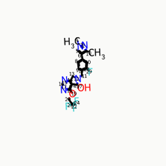 Cc1nn(C)cc1-c1ccc(CN2Cc3ncnc(OCC(F)(F)F)c3C2O)c(F)c1